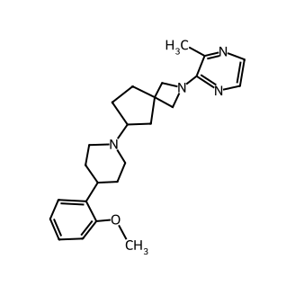 COc1ccccc1C1CCN(C2CCC3(C2)CN(c2nccnc2C)C3)CC1